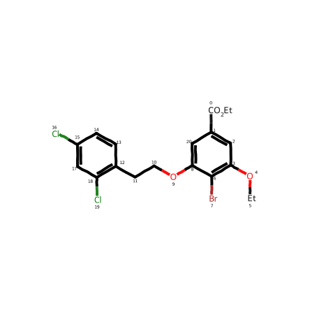 CCOC(=O)c1cc(OCC)c(Br)c(OCCc2ccc(Cl)cc2Cl)c1